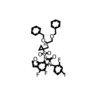 O=c1n(-c2ccc(I)cc2F)c2c(F)c(F)c3ccoc3c2n1S(=O)(=O)C1(C[C@H](COCc2ccccc2)OCc2ccccc2)CC1